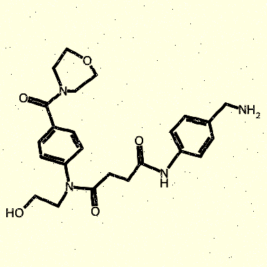 NCc1ccc(NC(=O)CCC(=O)N(CCO)c2ccc(C(=O)N3CCOCC3)cc2)cc1